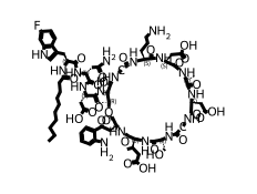 CCCCCCCCCC(=O)N[C@@H](Cc1c[nH]c2cc(F)ccc12)C(=O)N[C@H](CC(N)=O)C(=O)N[C@@H](CC(=O)O)C(=O)N[C@@H]1C(=O)NCC(=O)N[C@@H](CCCN)C(=O)N[C@@H](CC(=O)O)C(=O)N[C@H](C)C(=O)N[C@@H](CC(=O)O)C(=O)NCC(=O)N[C@H](CO)C(=O)N[C@@H](C(C)CC(=O)O)C(=O)N[C@@H](CC(=O)c2ccccc2N)C(=O)O[C@@H]1C